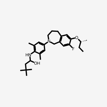 CC[C@@H](C)Oc1cc2c(cc1F)CN(c1cc(C)c(NC(O)CC(C)(C)C)c(C)c1)CCC2